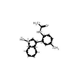 CC(=O)Nc1ccc(C)cc1-c1cn(O)c2ccccc12